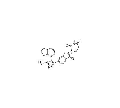 Cn1ncc(-c2ccc3c(c2)CN([C@H]2CCC(=O)NC2=O)C3=O)c1-c1cccc2c1CCC2